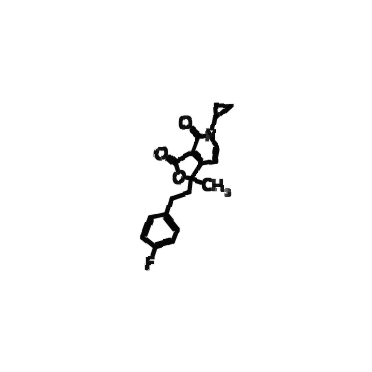 CC1(CCc2ccc(F)cc2)OC(=O)c2c1ccn(C1CC1)c2=O